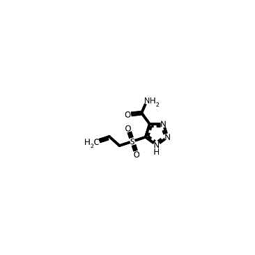 C=CCS(=O)(=O)c1[nH]nnc1C(N)=O